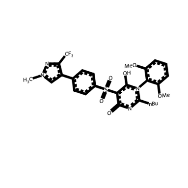 CCCCc1nc(=O)c(S(=O)(=O)c2ccc(-c3cn(C)nc3C(F)(F)F)cc2)c(O)n1-c1c(OC)cccc1OC